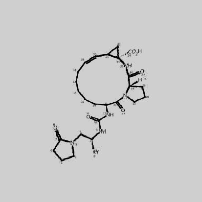 CC(C)[C@@H](CN1CCCC1=O)NC(=O)N[C@H]1CCCCC/C=C\C2C[C@@]2(C(=O)O)NC(=O)[C@@H]2CCCN2C1=O